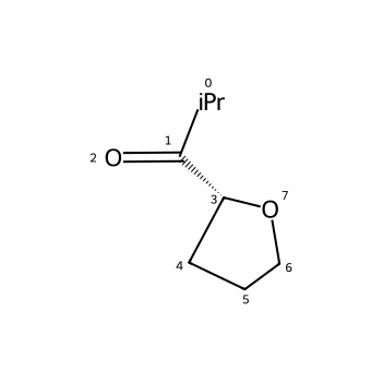 CC(C)C(=O)[C@H]1CCCO1